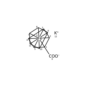 O=C([O-])[C]12[CH]3[CH]4[CH]5[CH]1[Fe]45321678[CH]2[CH]1[CH]6[CH]7[CH]28.[K+]